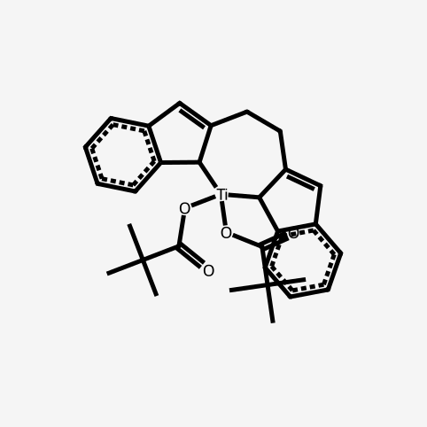 CC(C)(C)C(=O)[O][Ti]1([O]C(=O)C(C)(C)C)[CH]2C(=Cc3ccccc32)CCC2=Cc3ccccc3[CH]21